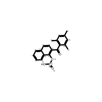 Cc1cc(C)c(C(=O)c2ccc3ccccc3c2O[PH](=O)O)c(C)c1